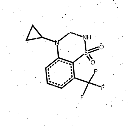 O=S1(=O)NCN(C2CC2)c2cccc(C(F)(F)F)c21